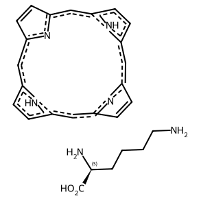 C1=Cc2cc3ccc(cc4nc(cc5ccc(cc1n2)[nH]5)C=C4)[nH]3.NCCCC[C@H](N)C(=O)O